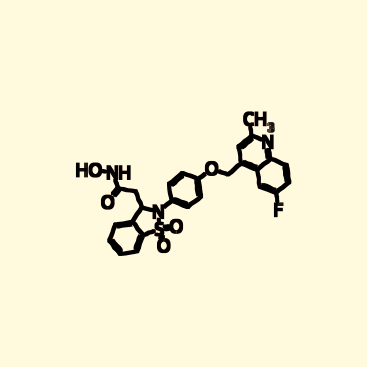 Cc1cc(COc2ccc(N3C(CC(=O)NO)c4ccccc4S3(=O)=O)cc2)c2cc(F)ccc2n1